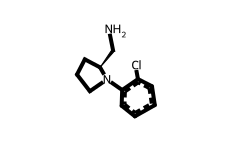 NC[C@@H]1CCCN1c1ccccc1Cl